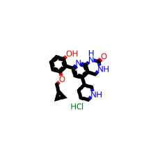 Cl.O=C1NCc2c(C3CCCNC3)cc(-c3c(O)cccc3OCC3CC3)nc2N1